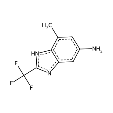 Cc1cc(N)cc2nc(C(F)(F)F)[nH]c12